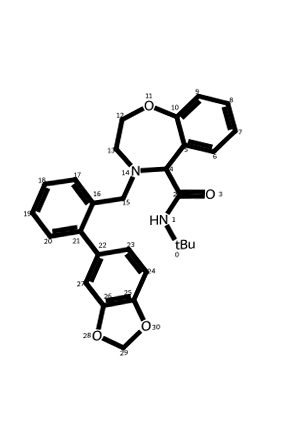 CC(C)(C)NC(=O)C1c2ccccc2OCCN1Cc1ccccc1-c1ccc2c(c1)OCO2